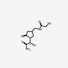 CC[C@@H](C(N)=O)N1CC(CNC(=O)CS)CC1=O